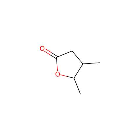 C[C]1CC(=O)OC1C